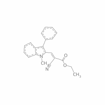 CCOC(=O)/C(C#N)=C/c1c(-c2ccccc2)c2ccccc2n1C